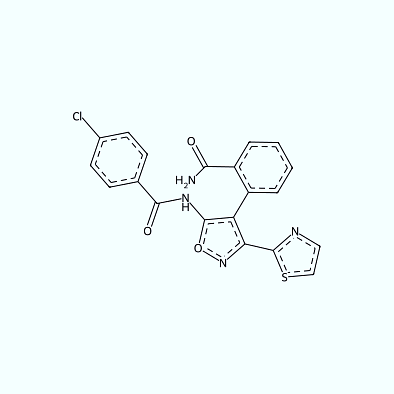 NC(=O)c1ccccc1-c1c(-c2nccs2)noc1NC(=O)c1ccc(Cl)cc1